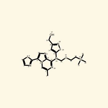 Cc1cn2c(-c3nccs3)cnc2c(N(COCC[Si](C)(C)C)c2cc(CO)ns2)n1